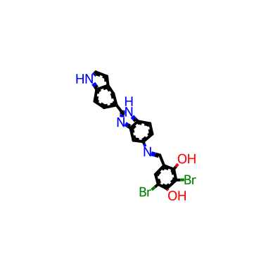 Oc1c(Br)cc(/C=N/c2ccc3[nH]c(-c4ccc5[nH]ccc5c4)nc3c2)c(O)c1Br